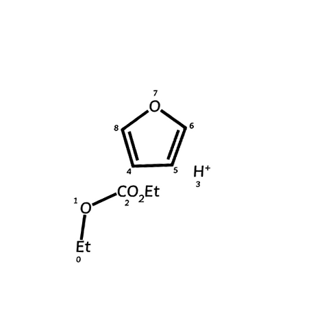 CCOC(=O)OCC.[H+].c1ccoc1